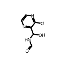 O=CNC(O)c1nccnc1Cl